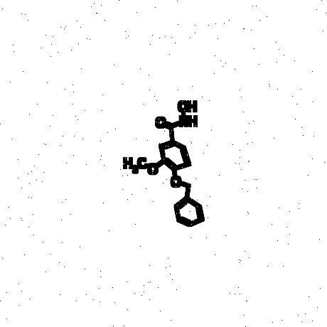 COc1cc(C(=O)NO)ccc1OCc1ccccc1